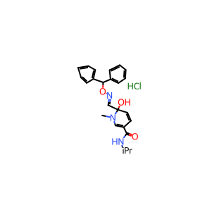 CC(C)NC(=O)C1=CN(C)C(O)(C=NOC(c2ccccc2)c2ccccc2)C=C1.Cl